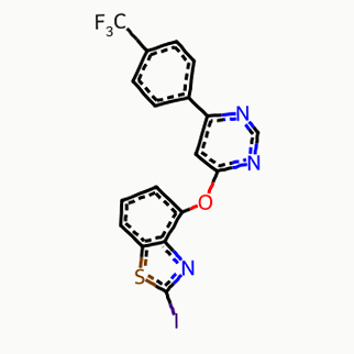 FC(F)(F)c1ccc(-c2cc(Oc3cccc4sc(I)nc34)ncn2)cc1